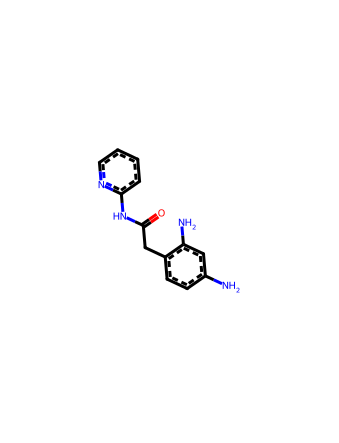 Nc1ccc(CC(=O)Nc2ccccn2)c(N)c1